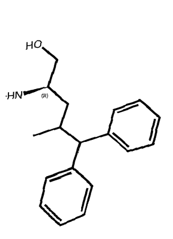 CC(C[C@@H]([NH])CO)C(c1ccccc1)c1ccccc1